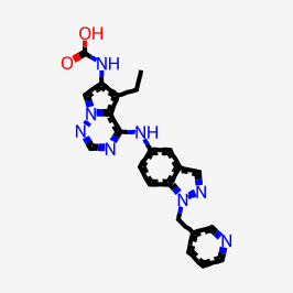 CCc1c(NC(=O)O)cn2ncnc(Nc3ccc4c(cnn4Cc4cccnc4)c3)c12